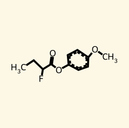 CCC(F)C(=O)Oc1ccc(OC)cc1